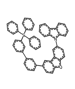 c1ccc([Si](c2ccccc2)(c2ccccc2)c2cccc(-c3cccc(-c4ccc5oc6ccc(-n7c8ccccc8c8ccccc87)cc6c5c4)c3)c2)cc1